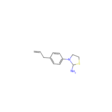 C=CCc1ccc(N2CCSC2N)cc1